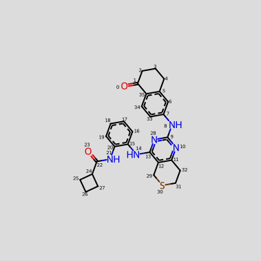 O=C1CCCc2cc(Nc3nc4c(c(Nc5ccccc5NC(=O)C5CCC5)n3)CSCC4)ccc21